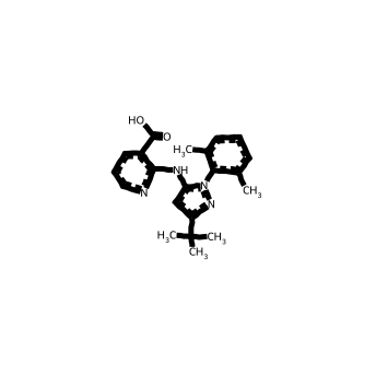 Cc1cccc(C)c1-n1nc(C(C)(C)C)cc1Nc1ncccc1C(=O)O